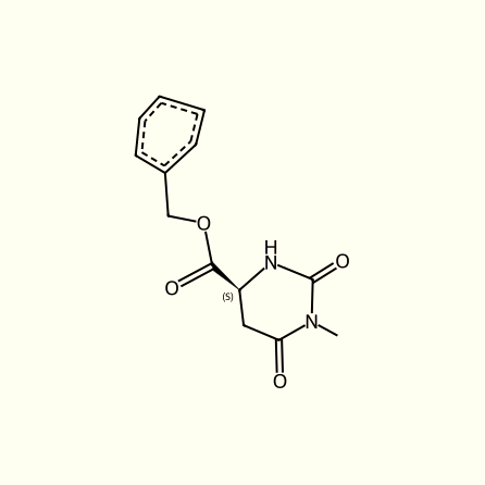 CN1C(=O)C[C@@H](C(=O)OCc2ccccc2)NC1=O